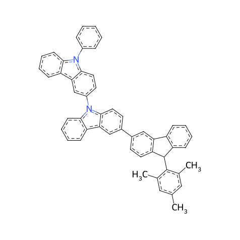 Cc1cc(C)c(C2c3ccccc3-c3cc(-c4ccc5c(c4)c4ccccc4n5-c4ccc5c(c4)c4ccccc4n5-c4ccccc4)ccc32)c(C)c1